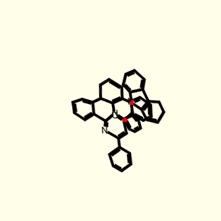 C1=CC2=C(CC1)c1ccccc1C21C2=C(Oc3ccccc31)C(c1ccccc1-c1nc(-c3ccccc3)cc(-c3ccccn3)n1)CC=C2